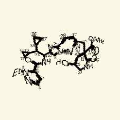 CCn1nccc1C(=O)NC(c1cn2nc(CC3(C(=O)OC)CC(O)CNC3=O)ccc2n1)C(C1CC1)C1CC1